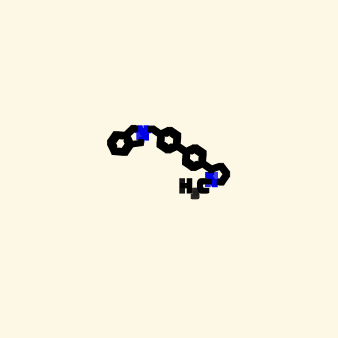 CN1CCCC1c1ccc(-c2ccc(CN3Cc4ccccc4C3)cc2)cc1